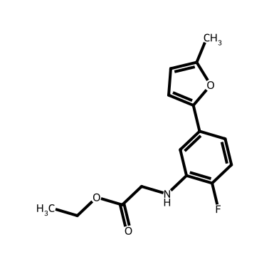 CCOC(=O)CNc1cc(-c2ccc(C)o2)ccc1F